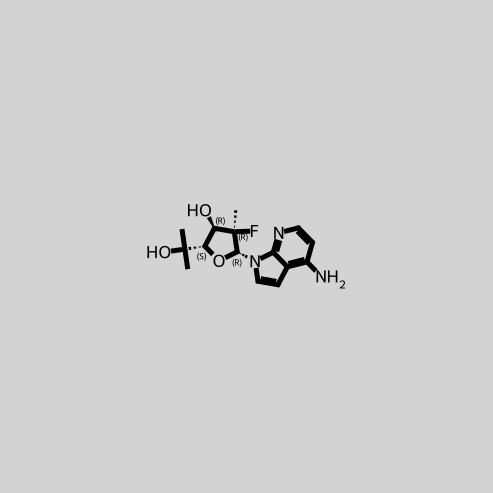 CC(C)(O)[C@H]1O[C@@H](n2ccc3c(N)ccnc32)[C@](C)(F)[C@@H]1O